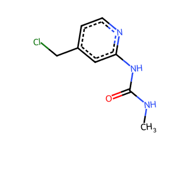 CNC(=O)Nc1cc(CCl)ccn1